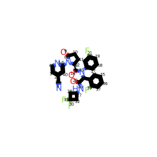 N#Cc1ccnc(N2C(=O)CC[C@H]2C(=O)N(c2cccc(F)c2)C(C(=O)NC2CC(F)(F)C2)c2ccccc2F)c1